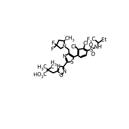 CCC(NS(=O)(=O)c1ccc(-c2sc(-c3noc(CC(C)(C)C(=O)O)n3)nc2CN2CC(F)(F)CC2C)c(Cl)c1Cl)C(F)(F)F